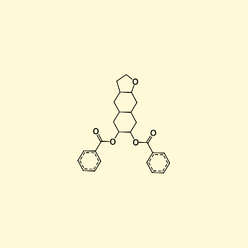 O=C(OC1CC2CC3CCOC3CC2CC1OC(=O)c1ccccc1)c1ccccc1